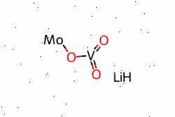 [LiH].[O]=[V](=[O])[O][Mo]